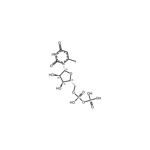 O=c1cc(I)n([C@@H]2O[C@H](COP(=O)(O)OP(=O)(O)O)[C@@H](O)[C@H]2O)c(=O)[nH]1